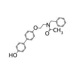 CC(=O)N(CCOc1ccc(-c2ccc(O)cc2)cc1)Cc1ccccc1